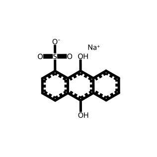 O=S(=O)([O-])c1cccc2c(O)c3ccccc3c(O)c12.[Na+]